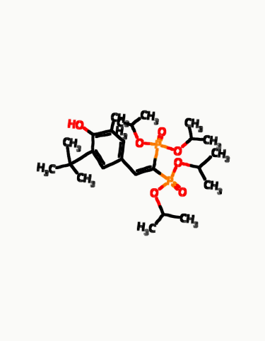 Cc1cc(C=C(P(=O)(OC(C)C)OC(C)C)P(=O)(OC(C)C)OC(C)C)cc(C(C)(C)C)c1O